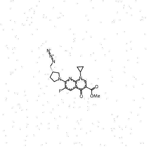 COC(=O)c1cn(C2CC2)c2nc(N3CC[C@H](CN=[N+]=[N-])C3)c(F)cc2c1=O